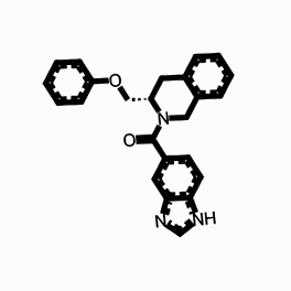 O=C(c1ccc2[nH]cnc2c1)N1Cc2ccccc2C[C@H]1COc1ccccc1